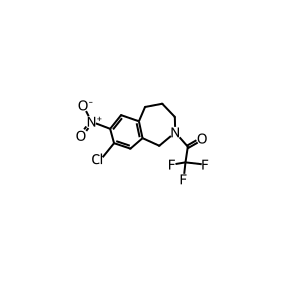 O=C(N1CCCc2cc([N+](=O)[O-])c(Cl)cc2C1)C(F)(F)F